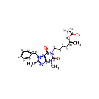 CC(=O)O[C@@H](C)CCCCn1c(=O)c2c(nc(C)n2Cc2ccccc2)n(C)c1=O